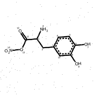 NC(Cc1ccc(O)c(O)c1)C(=O)O[N+](=O)[O-]